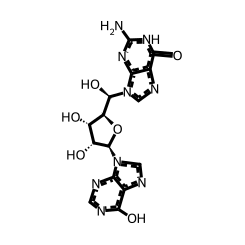 Nc1nc2c(ncn2[C@H](O)[C@H]2O[C@@H](n3cnc4c(O)ncnc43)[C@H](O)[C@@H]2O)c(=O)[nH]1